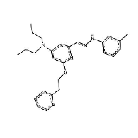 CCCN(CCC)c1cc(/C=N/Nc2cccc(C)c2)nc(OCCc2ccccn2)c1